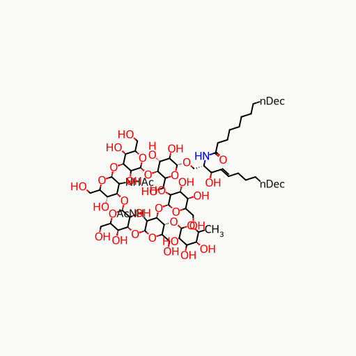 CCCCCCCCCCCCC/C=C/[C@@H](O)[C@H](CO[C@@H]1OC(CO)[C@@H](O[C@@H]2OC(CO)[C@H](O)[C@H](O[C@@H]3OC(CO)[C@@H](O)[C@H](O[C@@H]4OC(CO)[C@H](O)[C@H](O[C@@H]5OC(CO)[C@@H](O[C@H]6OC(C)[C@@H](O)C(O)[C@@H]6O)[C@H](O[C@@H]6OC(CO)[C@H](O)[C@H](O)C6O)C5NC(C)=O)C4O)C3NC(C)=O)C2O)[C@H](O)C1O)NC(=O)CCCCCCCCCCCCCCCCC